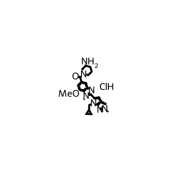 COc1cc(C(=O)N2CCCC(N)C2)cc2nc(-c3cc4cn(C)nc4n3CC3CC3)n(C)c12.Cl